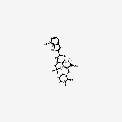 CC(C)(C)CC(NC(=O)c1cc2cccc(F)c2[nH]1)C(=O)NC(C[C@@H]1CCCNC1=O)C(=O)O